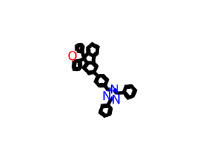 c1ccc(-c2nc(-c3ccccc3)nc(-c3ccc(-c4ccc5c(c4)-c4ccccc4C54c5ccccc5Oc5ccccc54)cc3)n2)cc1